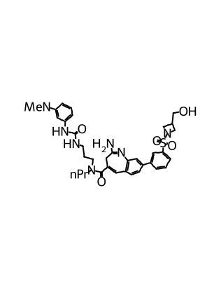 CCCN(CCCNC(=O)Nc1cccc(NC)c1)C(=O)C1=Cc2ccc(-c3cccc(S(=O)(=O)N4CC(CO)C4)c3)cc2N=C(N)C1